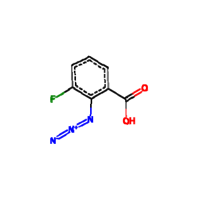 [N-]=[N+]=Nc1c(F)cccc1C(=O)O